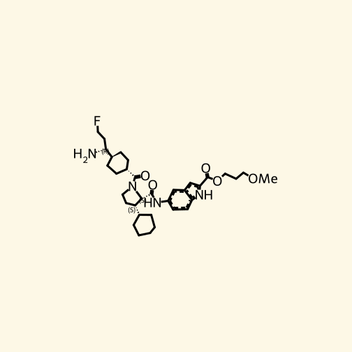 COCCCOC(=O)c1cc2cc(NC(=O)[C@@H]3[C@H](C4CCCCC4)CCN3C(=O)[C@H]3CC[C@H]([C@H](N)CCF)CC3)ccc2[nH]1